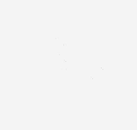 CCC1(C(C)C)c2ccc(F)cc2CCC1(O)N(C)CCCc1nc2ccccc2[nH]1